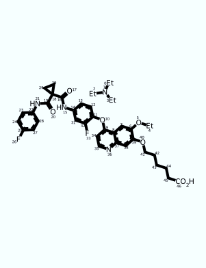 CCN(CC)CC.CCOc1cc2c(Oc3ccc(NC(=O)C4(C(=O)Nc5ccc(F)cc5)CC4)cc3F)ccnc2cc1OCCCCCC(=O)O